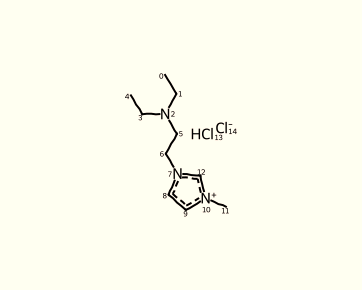 CCN(CC)CCn1cc[n+](C)c1.Cl.[Cl-]